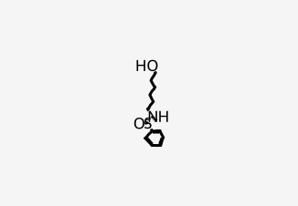 [O-][S+](NCCCCCCO)c1ccccc1